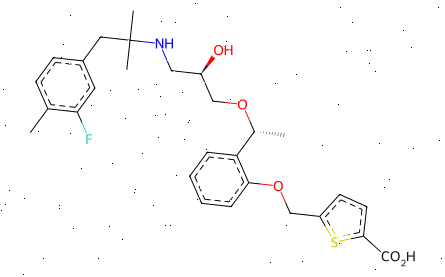 Cc1ccc(CC(C)(C)NC[C@@H](O)CO[C@H](C)c2ccccc2OCc2ccc(C(=O)O)s2)cc1F